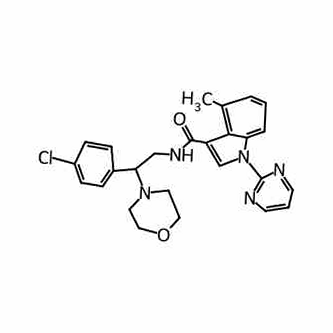 Cc1cccc2c1c(C(=O)NCC(c1ccc(Cl)cc1)N1CCOCC1)cn2-c1ncccn1